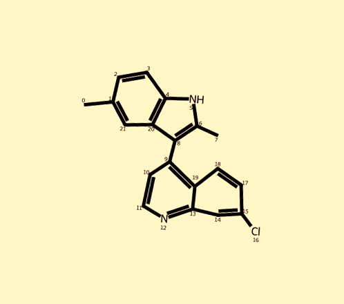 Cc1ccc2[nH]c(C)c(-c3ccnc4cc(Cl)ccc34)c2c1